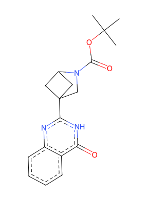 CC(C)(C)OC(=O)N1CC2(c3nc4ccccc4c(=O)[nH]3)CC1C2